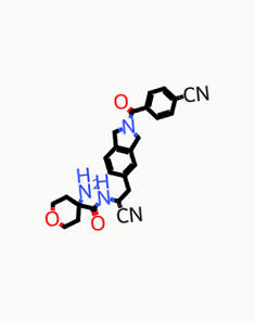 N#Cc1ccc(C(=O)N2Cc3ccc(CC(C#N)NC(=O)C4(N)CCOCC4)cc3C2)cc1